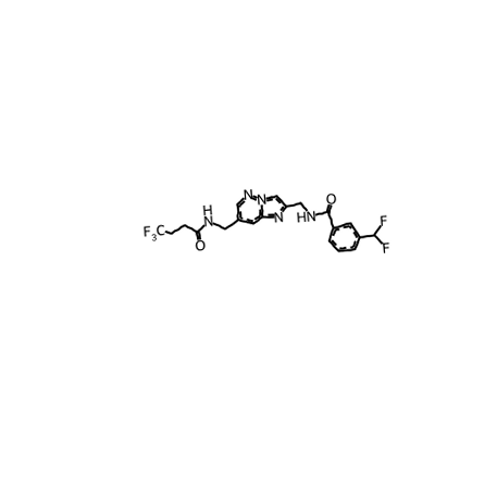 O=C(CCC(F)(F)F)NCc1cnn2cc(CNC(=O)c3cccc(C(F)F)c3)nc2c1